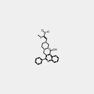 CSC(=CN1CCN(Cc2c(-c3ccccc3)nc3ccccc3c2C(=O)O)CC1)[N+](=O)[O-]